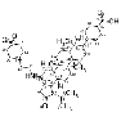 CC(C)C1=C2C(CC1=O)[C@@H](NCCN1CCS(=O)(=O)CC1)C[C@]1(C)[C@@H]2CCC2[C@@]3(C)CC=C(C4=CC[C@H](C(=O)O)CC4)C(C)(C)C3CC[C@]21C